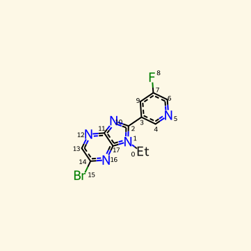 CCn1c(-c2cncc(F)c2)nc2ncc(Br)nc21